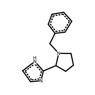 c1ccc(CN2CCCC2c2ncc[nH]2)cc1